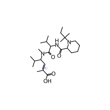 CCC(C)(C)N1CCCCC1C(=O)NC(C(=O)N(C)C(/C=C(\C)C(=O)O)C(C)C)C(C)C